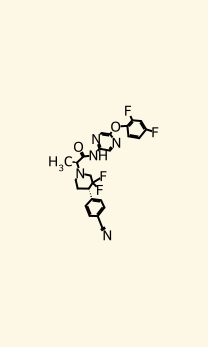 C[C@@H](C(=O)Nc1cnc(Oc2ccc(F)cc2F)cn1)N1CC[C@@H](c2ccc(C#N)cc2)C(F)(F)C1